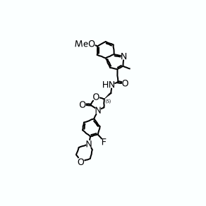 COc1ccc2nc(C)c(C(=O)NC[C@H]3CN(c4ccc(N5CCOCC5)c(F)c4)C(=O)O3)cc2c1